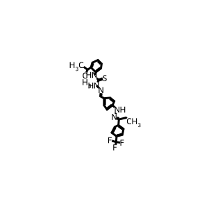 CC/C(=N\Nc1ccc(C=NNC(=S)Nc2ccccc2C(C)C)cc1)c1ccc(C(F)(F)F)cc1